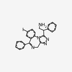 NCC(c1ccccc1)c1nnc2n1-c1ccc(I)cc1C(c1ccccc1)=NC2